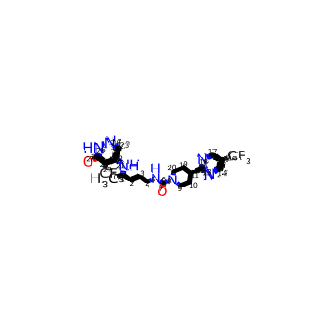 CC(/C=C/CNC(=O)N1CCC(c2ncc(C(F)(F)F)cn2)CC1)Nc1cn[nH]c(=O)c1C(F)(F)F